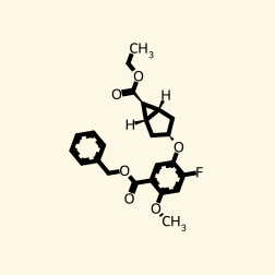 CCOC(=O)[C@H]1[C@@H]2C[C@H](Oc3cc(C(=O)OCc4ccccc4)c(OC)cc3F)C[C@@H]21